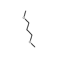 COC[CH]COC